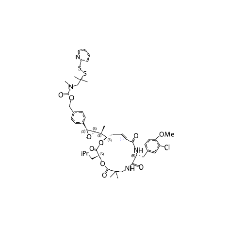 COc1ccc(C[C@H]2NC(=O)/C=C/C[C@@H]([C@H](C)[C@@H]3O[C@H]3c3ccc(COC(=O)N(C)CC(C)(C)SSc4ccccn4)cc3)OC(=O)[C@H](CC(C)C)OC(=O)C(C)(C)CNC2=O)cc1Cl